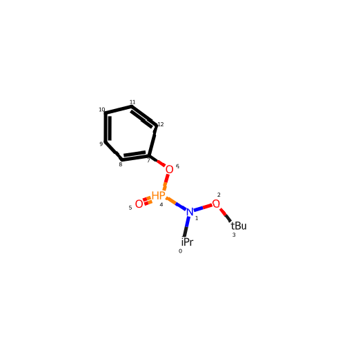 CC(C)N(OC(C)(C)C)[PH](=O)Oc1ccccc1